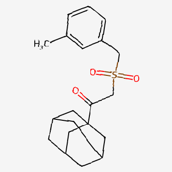 Cc1cccc(CS(=O)(=O)CC(=O)C23CC4CC(CC(C4)C2)C3)c1